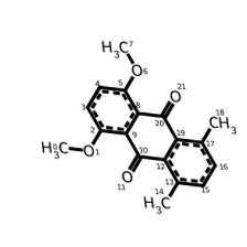 COc1ccc(OC)c2c1C(=O)c1c(C)ccc(C)c1C2=O